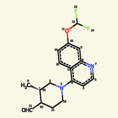 C[C@@H]1CN(c2ccnc3cc(OC(F)F)ccc23)CCC1C=O